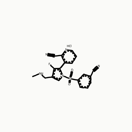 CNCc1cn(S(=O)(=O)c2cccc(C#N)c2)c(-c2cccnc2C#N)c1F.Cl